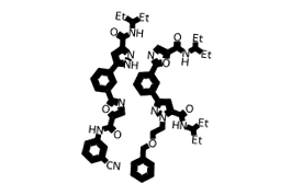 CCC(CC)NC(=O)c1cc(-c2cccc(-c3ncc(C(=O)Nc4cccc(C#N)c4)o3)c2)[nH]n1.CCC(CC)NC(=O)c1cnc(-c2cccc(-c3cc(C(=O)NC(CC)CC)n(CCOCc4ccccc4)n3)c2)o1